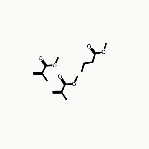 C=C(C)C(=O)OC.C=C(C)C(=O)OC.CCCC(=O)OC